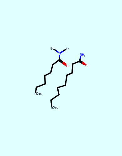 CCCCCCCCCCCCCCCC(=O)N(CC)CC.CCCCCCCCCCCCCCCCCC(N)=O